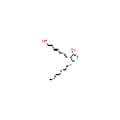 CCCCCCCC[C@H]1CC[C@H](O)[C@@H]1CCCC=CC=CO